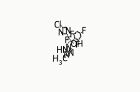 CN1N=CN(CC(O)(c2ccc(F)cc2F)C(F)(F)c2cnc(Cl)cn2)N1